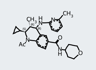 CC(=O)N1c2ccc(C(=O)NC3CCOCC3)cc2[C@H](Nc2cccc(C)n2)[C@@H](C)[C@@H]1C1CC1